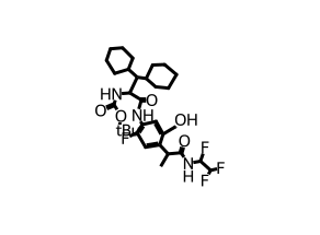 CC(C(=O)NC(F)C(F)F)c1cc(F)c(NC(=O)C(NC(=O)OC(C)(C)C)C(C2CCCCC2)C2CCCCC2)cc1CO